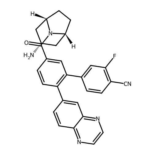 N#Cc1ccc(-c2cc(C(=O)N3[C@@H]4CC[C@H]3C[C@@H](N)C4)ccc2-c2ccc3nccnc3c2)cc1F